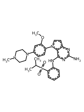 COc1cc(N2CCN(C)CC2)ccc1-n1ccc2nc(N)nc(Nc3ccccc3S(=O)(=O)C(C)C)c21